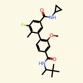 COc1cc(C(=O)NC(C)C(C)(C)C)ccc1-c1cc(C(=O)NC2CC2)cc(F)c1C